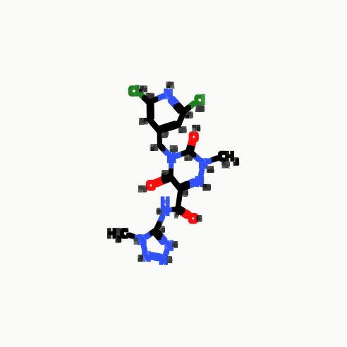 Cn1nnnc1NC(=O)c1nn(C)c(=O)n(Cc2cc(Cl)nc(Cl)c2)c1=O